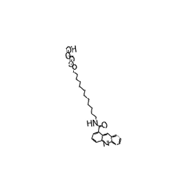 O=C(NCCCCCCCCCCCCOOOOO)c1cccc2nc3ccccc3cc12